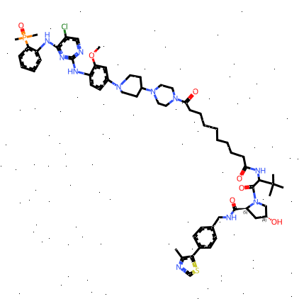 COc1cc(N2CCC(N3CCN(C(=O)CCCCCCCCC(=O)NC(C(=O)N4C[C@H](O)C[C@H]4C(=O)NCc4ccc(-c5scnc5C)cc4)C(C)(C)C)CC3)CC2)ccc1Nc1ncc(Cl)c(Nc2ccccc2P(C)(C)=O)n1